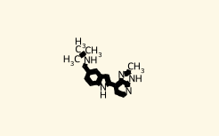 Cc1nc2c(-c3cc4cc(CNC(C)(C)C)ccc4[nH]3)ccnc2[nH]1